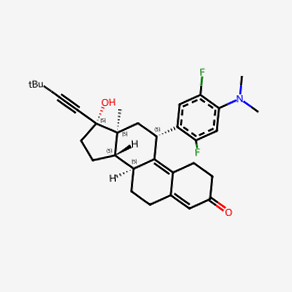 CN(C)c1cc(F)c([C@H]2C[C@@]3(C)[C@@H](CC[C@@]3(O)C#CC(C)(C)C)[C@@H]3CCC4=CC(=O)CCC4=C32)cc1F